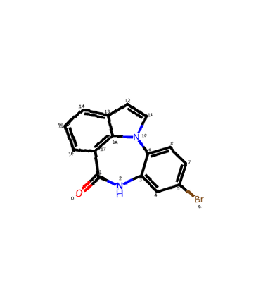 O=C1Nc2cc(Br)ccc2-n2ccc3cccc1c32